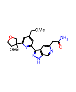 COCc1cc(-c2n[nH]c3cnc(CC(N)=O)cc23)nc(C2(OC)CCOC2)c1